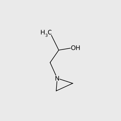 CC(O)CN1CC1